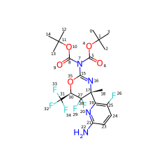 CC(C)(C)OC(=O)N(C(=O)OC(C)(C)C)C1=N[C@](C)(c2nc(N)ccc2F)C(F)(F)[C@@H](C(F)(F)F)O1